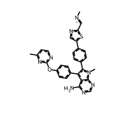 C/N=C/c1ncc(-c2ccc(-c3c(-c4ccc(Oc5nccc(C)n5)cc4)c4c(N)ncnc4n3C)cc2)s1